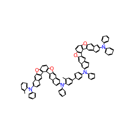 Cc1ccccc1N(c1ccccc1)c1ccc2cc3c(cc2c1)oc1ccc2oc4cc5cc(N(c6ccccc6)c6ccc(-c7ccc(N(c8ccccc8)c8ccc9cc%10c(cc9c8)oc8ccc9oc%11cc%12cc(N(c%13ccccc%13)c%13ccccc%13)ccc%12cc%11c9c8%10)cc7)cc6C)ccc5cc4c2c13